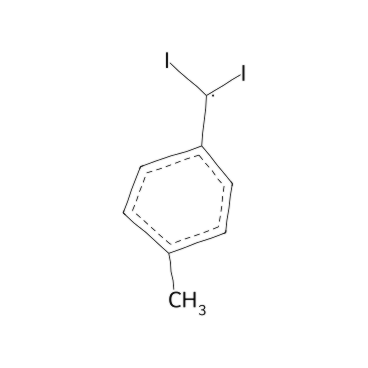 Cc1ccc([C](I)I)cc1